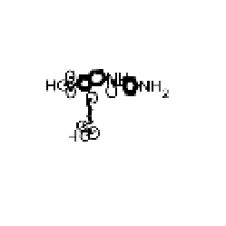 Nc1ccc(C(=O)Nc2ccc3cc(S(=O)(=O)O)cc(OCCCCS(=O)(=O)O)c3c2)cc1